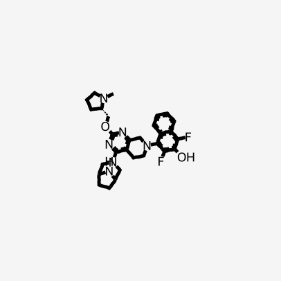 CN1CCC[C@H]1COc1nc2c(c(N3CC4CCC(C3)N4)n1)CCN(c1c(F)c(O)c(F)c3ccccc13)C2